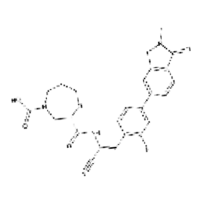 CN1Cc2cc(-c3ccc(C[C@@H](C#N)NC(=O)[C@@H]4CN(C(=O)O)CCCO4)c(F)c3)ccc2C1=O